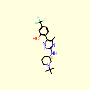 Cc1nc(N[C@H]2CCCN(C(C)(C)C)C2)nnc1-c1ccc(C(F)(F)F)cc1O